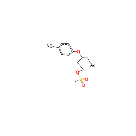 CC(=O)CC(CCOS(C)(=O)=O)Oc1ccc(C#N)cc1